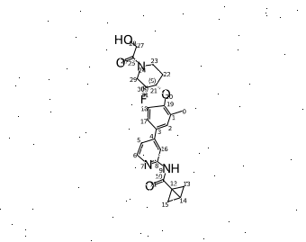 Cc1cc(-c2ccnc(NC(=O)C34CC3C4)c2)ccc1O[C@H]1CCN(C(=O)CO)C[C@H]1F